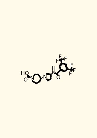 O=C(N[C@@H]1CCN([C@@H]2CCCN(C(=O)O)CC2)C1)c1cc(C(F)(F)F)cc(C(F)(F)F)c1